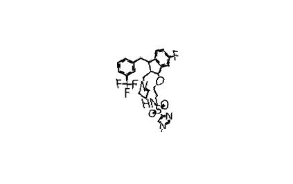 Cn1cnc(S(=O)(=O)NCCOC2c3cc(F)ccc3C(Cc3cccc(C(F)(F)F)c3)C2CN2CCC2)c1